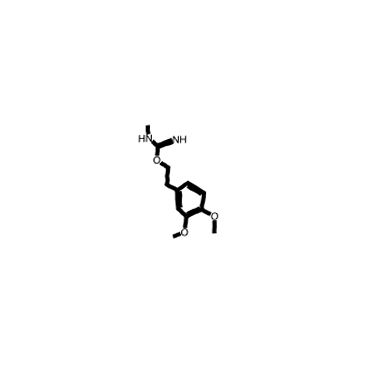 CNC(=N)OCCc1ccc(OC)c(OC)c1